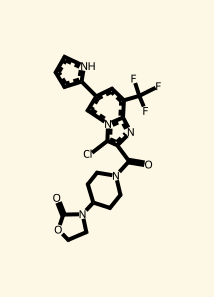 O=C(c1nc2c(C(F)(F)F)cc(-c3ccc[nH]3)cn2c1Cl)N1CCC(N2CCOC2=O)CC1